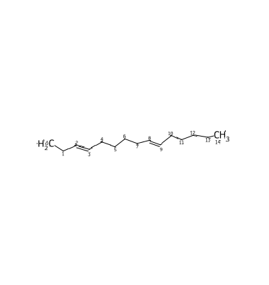 [CH2]C/C=C/CCCC/C=C/CCCCC